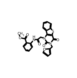 COC(=O)c1ccccc1NC(=O)Cn1c(=O)n(Cc2ccco2)c(=O)c2sc3ccccc3c21